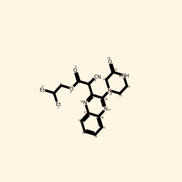 CCC(CC)COC(=O)C(C#N)c1nc2ccccc2nc1N1CCNC(=O)C1